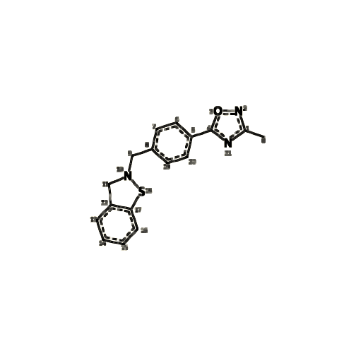 Cc1noc(-c2ccc(CN3Cc4ccccc4S3)cc2)n1